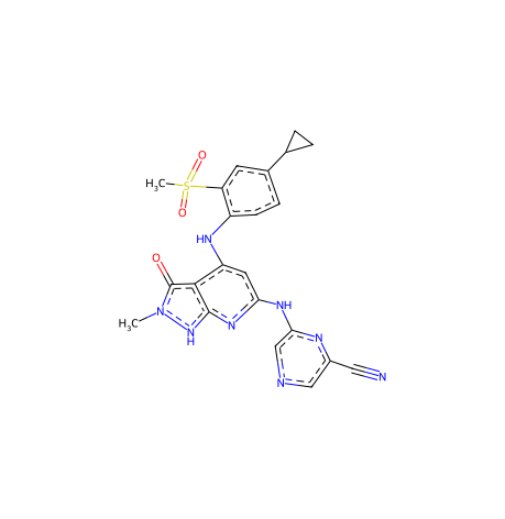 Cn1[nH]c2nc(Nc3cncc(C#N)n3)cc(Nc3ccc(C4CC4)cc3S(C)(=O)=O)c2c1=O